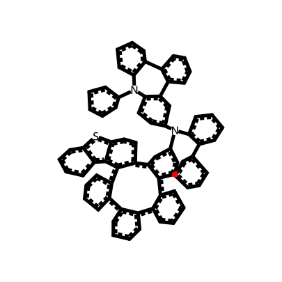 c1ccc(-c2ccccc2N(c2ccc3c(c2)-c2ccccc2-c2ccccc2N3c2ccccc2)c2ccc3c4ccccc4c4ccccc4c4ccccc4c4c(ccc5sc6ccccc6c54)c3c2)cc1